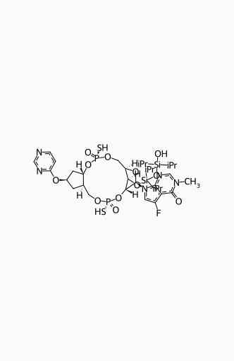 CC(C)[Si](O)(O[Si](O[C@H]1[C@H]2O[P@](=O)(S)OC[C@H]3C[C@@H](Oc4ccncn4)C[C@@H]3O[P@@](=O)(S)OC[C@H]1O[C@H]2n1cc(F)c2c(=O)n(C)cnc21)(C(C)C)C(C)C)C(C)C